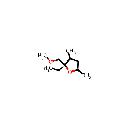 BC1CC(C)[C@@](CC)(COC)O1